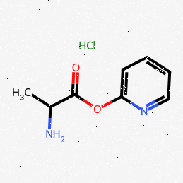 CC(N)C(=O)Oc1ccccn1.Cl